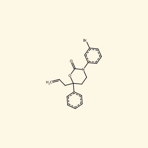 C=CCC1(c2ccccc2)CCN(c2cccc(Br)c2)C(=O)O1